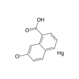 O=C(O)c1cccc2ccc(Cl)cc12.[Hg]